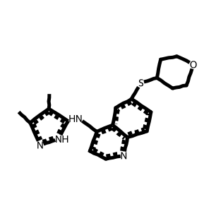 Cc1n[nH]c(Nc2ccnc3ccc(SC4CCOCC4)cc23)c1C